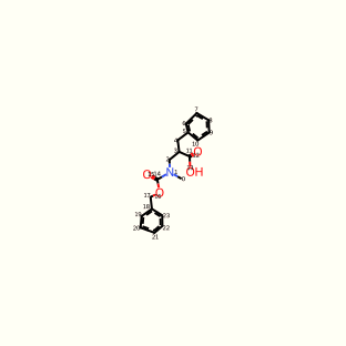 CN(CC(Cc1ccccc1)C(=O)O)C(=O)OCc1ccccc1